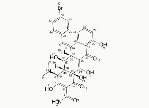 CN(C)[C@@H]1C(O)=C(C(N)=O)C(=O)[C@@]2(O)C(O)=C3C(=O)c4c(O)cccc4/C(=C\c4ccc(Br)cc4)[C@H]3[C@H](O)[C@@H]12